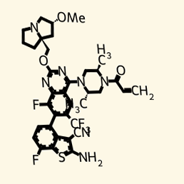 C=CC(=O)N1C[C@H](C)N(c2nc(OC[C@@]34CCCN3C[C@H](OC)C4)nc3c(F)c(-c4ccc(F)c5sc(N)c(C#N)c45)c(C(F)(F)F)cc23)C[C@H]1C